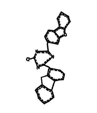 Clc1nc(-c2ccc3c(c2)oc2ccccc23)nc(-c2cccc3c2Cc2ccccc2-3)n1